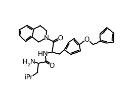 CC(C)CC(N)C(=O)NC(Cc1ccc(OCc2ccccc2)cc1)C(=O)N1CCc2ccccc2C1